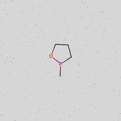 CP1CCCO1